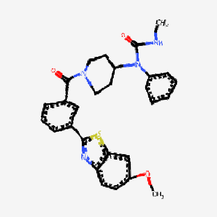 CNC(=O)N(c1ccccc1)C1CCN(C(=O)c2cccc(-c3nc4ccc(OC)cc4s3)c2)CC1